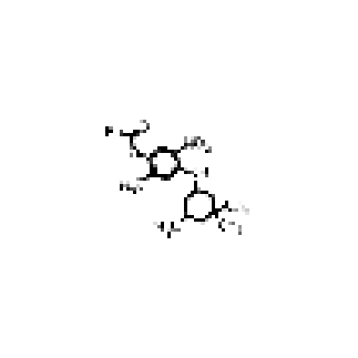 CCC(=O)Oc1cc([N+](=O)[O-])c(NC2CC(C)CC(C)(C)C2)cc1C